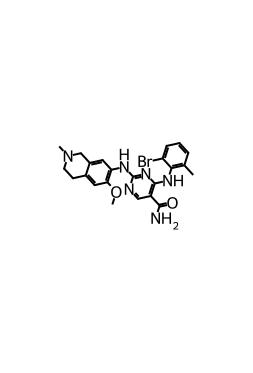 COc1cc2c(cc1Nc1ncc(C(N)=O)c(Nc3c(C)cccc3Br)n1)CN(C)CC2